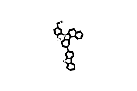 N#Cc1ccc(C=N)cc1-n1c2ccc(-c3ccc4c(c3)oc3ccccc34)cc2c2c3ccccc3ccc21